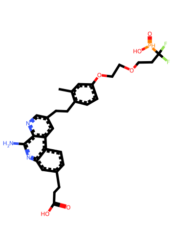 Cc1cc(OCCOCCC(F)(F)[PH](=O)O)ccc1CCc1cnc2c(N)nc3cc(CCC(=O)O)ccc3c2c1